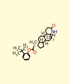 CC(C)(C)c1ccccc1OC(=O)C[C@H]1CC[C@H]2[C@@H]3CC[C@H]4NC(=O)CC[C@]4(C)[C@H]3CC[C@]12C